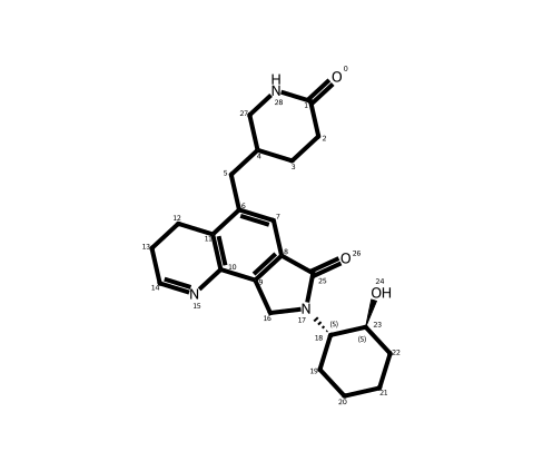 O=C1CCC(Cc2cc3c(c4c2CCC=N4)CN([C@H]2CCCC[C@@H]2O)C3=O)CN1